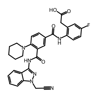 N#CCn1nc(NC(=O)c2cc(C(=O)Nc3ccc(F)cc3CC(=O)O)ccc2N2CCCCC2)c2ccccc21